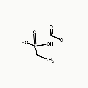 NCP(=O)(O)O.O=CO